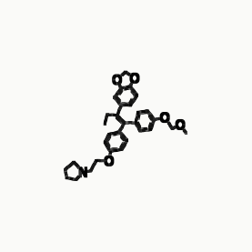 CCC(=C(c1ccc(OCCN2CCCC2)cc1)c1ccc(OCOC)cc1)c1ccc2c(c1)OCO2